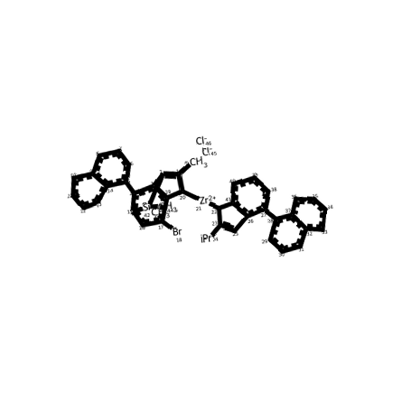 CC1=C2c3c(-c4cccc5ccccc45)c(cc(Br)c3[CH]1[Zr+2][CH]1C(C(C)C)=Cc3c(-c4cccc5ccccc45)cccc31)[Si]2(C)C.[Cl-].[Cl-]